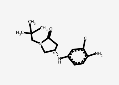 CC(C)(C)CN1C[C@@H](Nc2ccc(N)c(Cl)c2)CC1=O